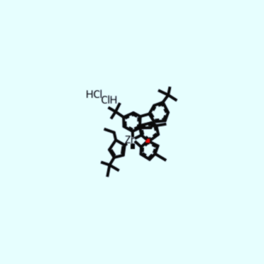 Cl.Cl.[CH2]=[Zr]([C]1=CC(C(C)(C)C)=CC1CC)([c]1ccc(C)cc1)([c]1ccc(C)cc1)[c]1cc(C(C)(C)C)cc2c1Cc1ccc(C(C)(C)C)cc1-2